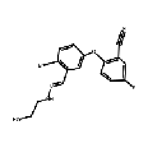 N#Cc1cc(F)ccc1Oc1ccc(Br)c(/C=N/NCCO)c1